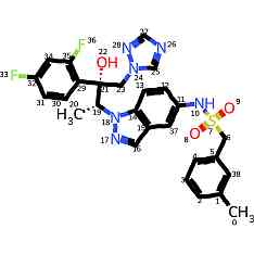 Cc1cccc(CS(=O)(=O)Nc2ccc3c(cnn3[C@H](C)[C@](O)(Cn3cncn3)c3ccc(F)cc3F)c2)c1